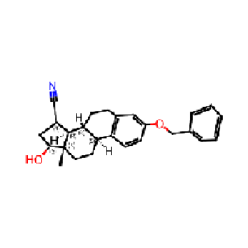 C[C@]12CC[C@@H]3c4ccc(OCc5ccccc5)cc4CC[C@H]3[C@@H]1[C@H](C#N)C[C@@H]2O